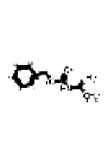 [CH2]C([CH2])NC(=O)OCc1ccccc1